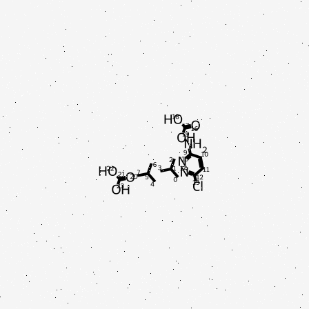 CC(C)C.CC(C)C.Nc1ccc(Cl)nn1.O=C(O)O.O=C(O)O